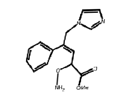 COC(=O)C(C=C(Cn1ccnc1)c1ccccc1)ON